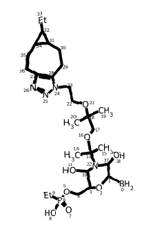 BC1OC(COP(=O)(O)CC)C(O)N(C(C)(C)OCC(C)(C)OCCn2nnc3c2CCC2C(CC)C2CC3)C1O